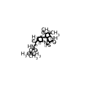 COc1cc(C)c2[nH]c(=O)c3scnc3c2c1-c1ccc(C(C)CNC(=O)OC(C)(C)C)cc1